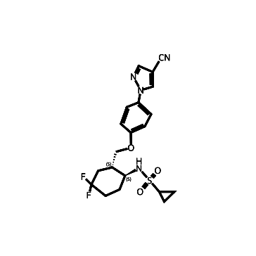 N#Cc1cnn(-c2ccc(OC[C@H]3CC(F)(F)CC[C@@H]3NS(=O)(=O)C3CC3)cc2)c1